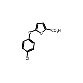 O=C(O)c1ccc(Oc2ccc(Cl)cc2)o1